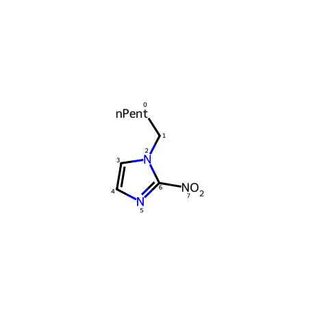 CCCCCCn1ccnc1[N+](=O)[O-]